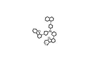 c1cc(-c2cccc3c2oc2ccccc23)cc(N(c2ccc(-c3cccc4ccccc34)cc2)c2ccc(-c3cccc4c3oc3ccccc34)cc2)c1